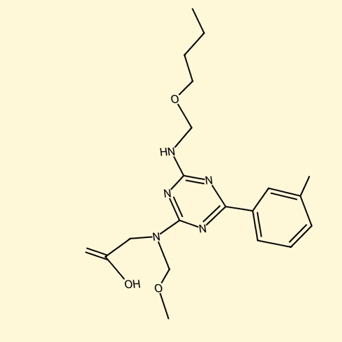 C=C(O)CN(COC)c1nc(NCOCCCC)nc(-c2cccc(C)c2)n1